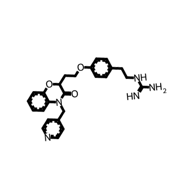 N=C(N)NCCc1ccc(OCCC2Oc3ccccc3N(Cc3ccncc3)C2=O)cc1